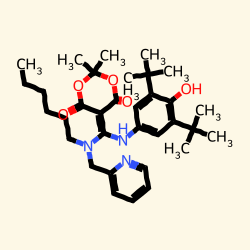 CCCCCCN(Cc1ccccn1)C(Nc1cc(C(C)(C)C)c(O)c(C(C)(C)C)c1)=C1C(=O)OC(C)(C)OC1=O